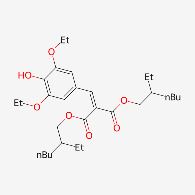 CCCCC(CC)COC(=O)C(=Cc1cc(OCC)c(O)c(OCC)c1)C(=O)OCC(CC)CCCC